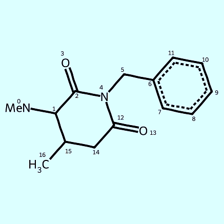 CNC1C(=O)N(Cc2ccccc2)C(=O)CC1C